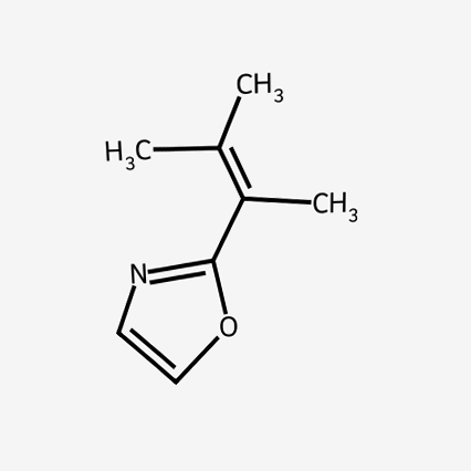 CC(C)=C(C)c1ncco1